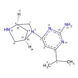 CC(C)c1cc(N2C[C@H]3C[C@@H]2CN3)nc(N)n1